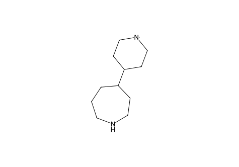 C1CNCCC(C2CC[N]CC2)C1